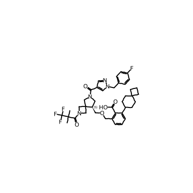 CC(C)(C(=O)N1CC2(CN(C(=O)c3cnn(Cc4ccc(F)cc4)c3)C[C@H]2COCc2cccc(C3CCC4(CCC4)CC3)c2C(=O)O)C1)C(F)(F)F